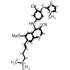 COc1cc2c(Nc3ccc(Sc4nccn4C)c(Cl)c3)c(C#N)cnc2cc1/C=C/CCN(C)C